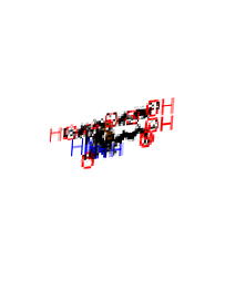 O=C(O)CCCC[C@@H]1SC[C@@H]2NC(=O)N[C@@H]21.OCCOCCOCCOCCO